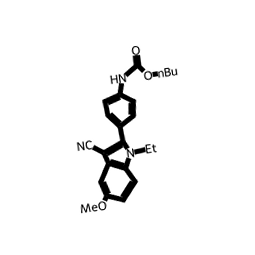 CCCCOC(=O)Nc1ccc(-c2c(C#N)c3cc(OC)ccc3n2CC)cc1